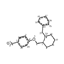 O=[N+]([O-])c1ccc(OCC2CCCCN2Cc2ccccc2)cc1